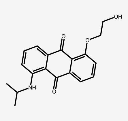 CC(C)Nc1cccc2c1C(=O)c1cccc(OCCO)c1C2=O